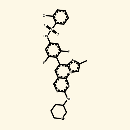 Cc1cn2c(n1)c(-c1c(F)cc(NS(=O)(=O)c3ccccc3Cl)cc1F)cc1cnc(NC3CCCNC3)nc12